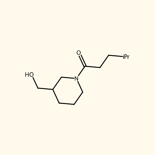 CC(C)CCC(=O)N1CCCC(CO)C1